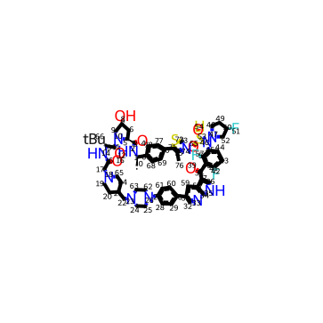 [CH2][C@@H](NC(=O)[C@@H]1C[C@@H](O)CN1C(=O)[C@@H](NC(=O)CN1CCC(CN2CCN(c3ccc(-c4cnc5[nH]cc(C(=O)c6c(F)ccc(N(N7CC[C@@H](F)C7)[SH](=O)=O)c6F)c5c4)cc3)CC2)CC1)C(C)(C)C)c1ccc(-c2scnc2C)cc1